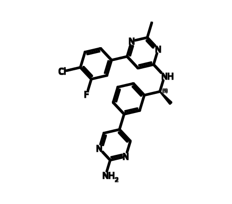 Cc1nc(N[C@@H](C)c2cccc(-c3cnc(N)nc3)c2)cc(-c2ccc(Cl)c(F)c2)n1